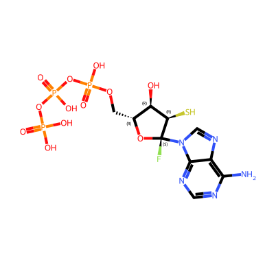 Nc1ncnc2c1ncn2[C@]1(F)O[C@H](COP(=O)(O)OP(=O)(O)OP(=O)(O)O)[C@@H](O)[C@H]1S